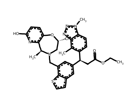 CCOC(=O)C[C@@H](c1cc(CN2C[C@@H](C)Oc3ccc(O)nc3[C@@H]2C)c2sccc2c1)c1ccc2c(nnn2C)c1C